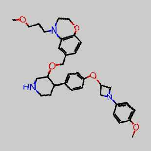 COCCCN1CCOc2ccc(COC3CNCCC3c3ccc(OC4CN(c5ccc(OC)cc5)C4)cc3)cc21